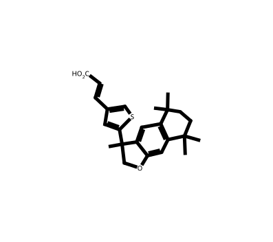 CC1(C)CCC(C)(C)c2cc3c(cc21)OCC3(C)c1cc(C=CC(=O)O)cs1